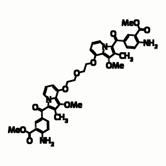 COC(=O)c1cc(C(=O)c2c(C)c(OC)c3c(OCCOCCOc4cccn5c(C(=O)c6ccc(N)c(C(=O)OC)c6)c(C)c(OC)c45)cccn23)ccc1N